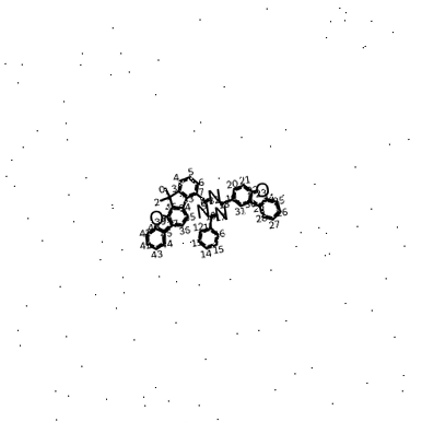 CC1(C)c2cccc(-c3nc(-c4ccccc4)nc(-c4ccc5oc6ccccc6c5c4)n3)c2-c2ccc3c(oc4ccccc43)c21